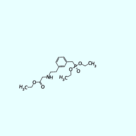 CCOC(=O)CNCCc1cccc(CP(=O)(OCC)OCC)c1